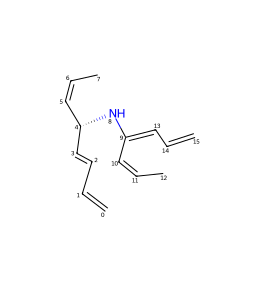 C=CC=C[C@H](/C=C\C)NC(/C=C\C)=C/C=C